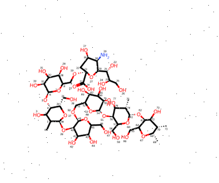 CC1C(O)[C@H](O[C@@H]2OC(CO[C@]3(C(=O)O)C[C@@H](O)[C@@H](N)C([C@H](O)[C@H](O)CO)O3)[C@H](O)C(O)[C@@H]2O)[C@H](CO)O[C@H]1O[C@@H]1C(O)[C@H](O)C(CO)O[C@@H]1OCC1O[C@@H](O[C@@H]2C(CO)O[C@@H](O[C@@H]3C(CO)O[C@@H](C)[C@@H](C)C3O)[C@@H](C)C2O)[C@H](O)C(O)[C@@H]1O